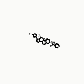 CCc1cn(C2=CCC3C4CC=C5C[C@@H](NC(=O)c6ccncc6)CC[C@]5(C)C4CC[C@]23C)cn1